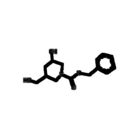 O=C(OCc1ccccc1)N1CC(O)CC(CO)C1